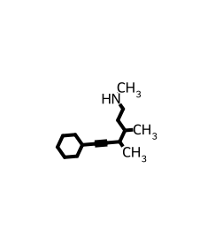 CNCCC(C)C(C)C#CC1CCCCC1